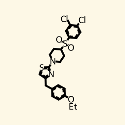 CCOc1ccc(Cc2csc(N3CCC(S(=O)(=O)c4ccc(Cl)c(Cl)c4)CC3)n2)cc1